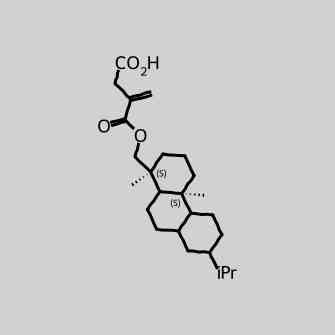 C=C(CC(=O)O)C(=O)OC[C@@]1(C)CCC[C@@]2(C)C3CCC(C(C)C)CC3CCC12